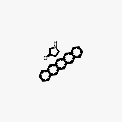 O=C1CCNC1.c1ccc2cc3cc4cc5ccccc5cc4cc3cc2c1